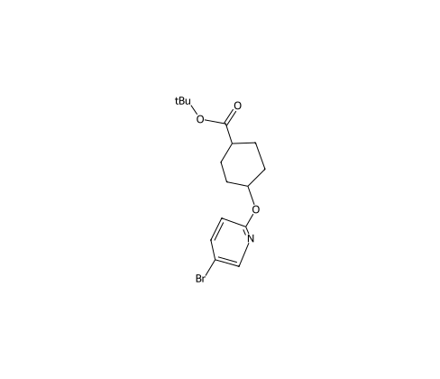 CC(C)(C)OC(=O)C1CCC(Oc2ccc(Br)cn2)CC1